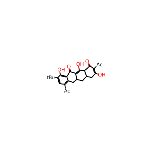 CC(=O)C1=C(O)CC2CC3Cc4c(C(C)=O)cc(C(C)(C)C)c(O)c4C(=O)C3=C(O)C2C1=O